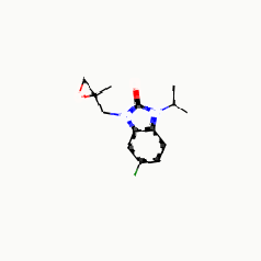 CC(C)n1c(=O)n(CC2(C)CO2)c2cc(Cl)ccc21